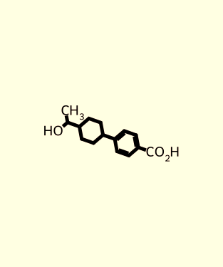 CC(O)C1CCC(c2ccc(C(=O)O)cc2)CC1